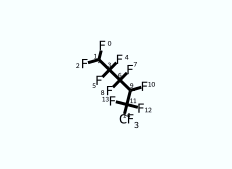 F[C](F)C(F)(F)C(F)(F)[C](F)C(F)(F)C(F)(F)F